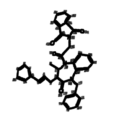 CC1C(C/C=C/c2ccccc2)C(=O)N(Cc2ccccc2)c2ccccc2N1C(=O)CN1C(=O)c2ccccc2C1=O